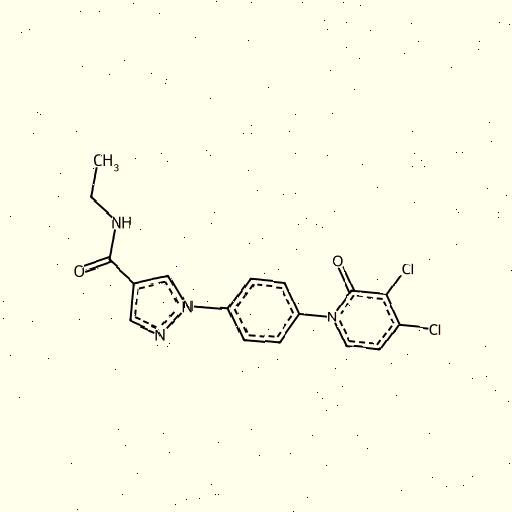 CCNC(=O)c1cnn(-c2ccc(-n3ccc(Cl)c(Cl)c3=O)cc2)c1